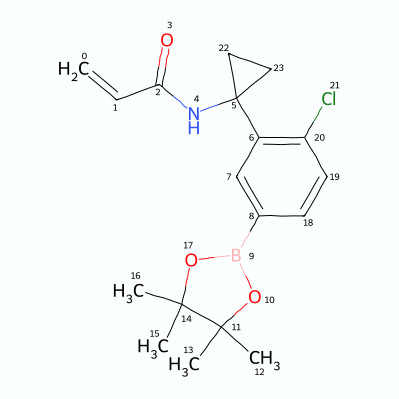 C=CC(=O)NC1(c2cc(B3OC(C)(C)C(C)(C)O3)ccc2Cl)CC1